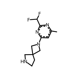 Cc1cc(N2CC3(CCNC3)C2)nc(C(F)F)n1